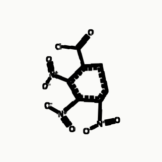 O=C(Cl)c1ccc([N+](=O)[O-])c([N+](=O)[O-])c1[N+](=O)[O-]